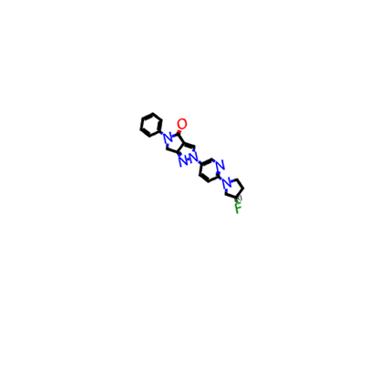 O=C1c2cn(-c3ccc(N4CC[C@@H](F)C4)nc3)nc2CN1c1ccccc1